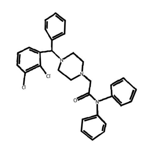 O=C(CN1CCN(C(c2ccccc2)c2cccc(Cl)c2Cl)CC1)N(c1ccccc1)c1ccccc1